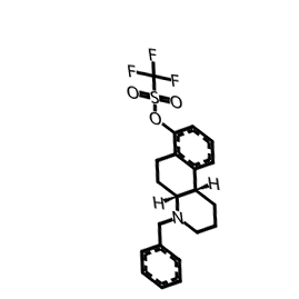 O=S(=O)(Oc1cccc2c1CC[C@@H]1[C@H]2CCCN1Cc1ccccc1)C(F)(F)F